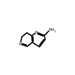 Nc1ccc2c(n1)CCN=C2